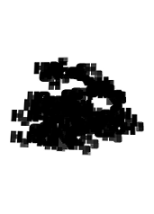 Cc1c(N)nc([C@H](CC(N)=O)NC[C@H](N)C(N)=O)nc1C(=O)N[C@H](C(=O)N[C@H](C)[C@@H](O)[C@H](C)C(=O)N[C@H](C(=O)NCCc1nc(-c2nc(C(=O)NCCC[S+](C)C)cs2)cs1)[C@@H](C)O)[C@@H](O[C@@H]1O[C@@H](CO)[C@H](O)[C@@H](O)[C@@H]1O[C@@H]1O[C@@H](CO)[C@H](O)[C@@H](OC(N)=O)[C@@H]1O)c1cnc[nH]1.O=c1[nH]cc(F)c(=O)[nH]1